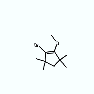 COC1=C(Br)C(C)(C)CC1(C)C